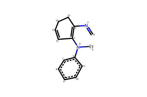 C=NC1=C(N(CC)c2ccccc2)C=CCC1